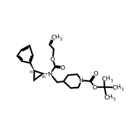 C=CCOC(=O)N(CC1CCN(C(=O)OC(C)(C)C)CC1)[C@@H]1C[C@H]1c1ccccc1